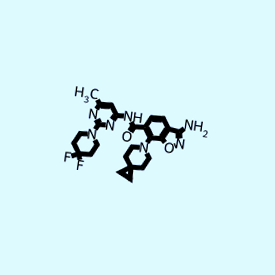 Cc1cc(NC(=O)c2ccc3c(N)noc3c2N2CCC3(CC2)CC3)nc(N2CCC(F)(F)CC2)n1